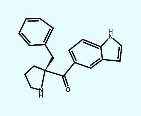 O=C(c1ccc2[nH]ccc2c1)[C@@]1(Cc2ccccc2)CCCN1